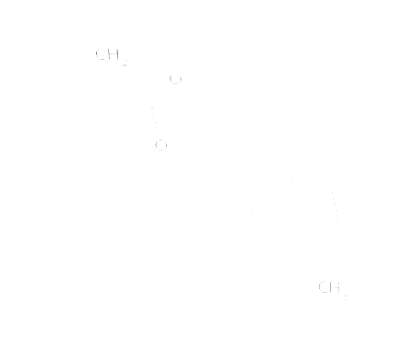 C=CC(=O)OCCC1CCCC(C)C1